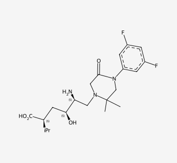 CC(C)[C@H](C[C@H](O)[C@@H](N)CN1CC(=O)N(c2cc(F)cc(F)c2)CC1(C)C)C(=O)O